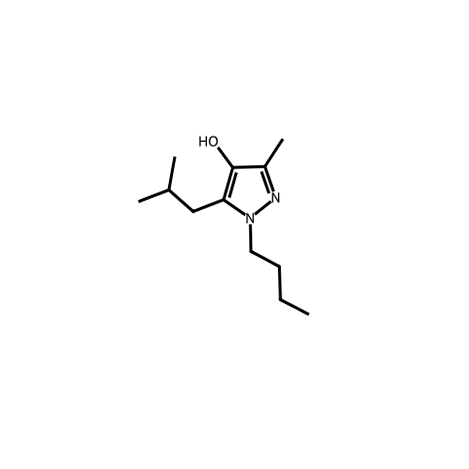 CCCCn1nc(C)c(O)c1CC(C)C